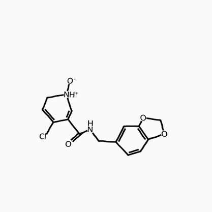 O=C(NCc1ccc2c(c1)OCO2)C1=C[NH+]([O-])CC=C1Cl